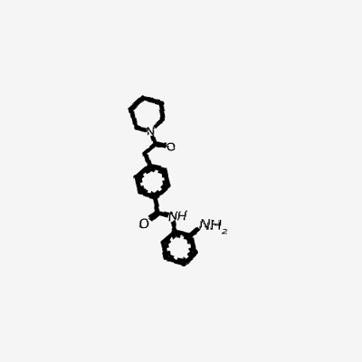 Nc1ccccc1NC(=O)c1ccc(CC(=O)N2CCCCC2)cc1